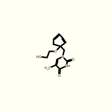 Cc1cn(CC2(OCCO)C=CC=CC2)c(=O)[nH]c1=O